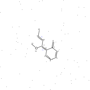 C=c1cccc/c1=C(/C=C/C)OC